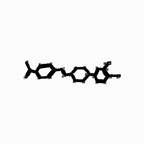 CC(=O)c1ccc(/N=N/N2CCN(c3ccc(Cl)c(Cl)c3)CC2)cc1